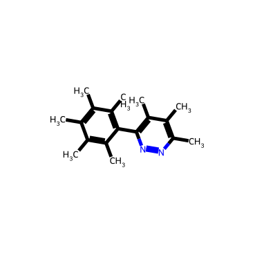 Cc1nnc(-c2c(C)c(C)c(C)c(C)c2C)c(C)c1C